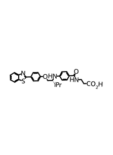 CC(C)[C@H](COc1ccc(-c2nc3ccccc3s2)cc1)Nc1ccc(C(=O)NCCC(=O)O)cc1